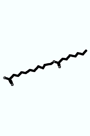 CCCCCCCC(=O)OCCCCCCCCCCC([O])=O